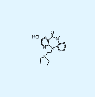 CCN(CC)CCN1c2ccccc2N(C)C(=O)c2cccnc21.Cl